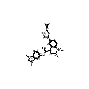 CC(=O)N1c2ccc(C3CNN(C4CC4)C3)cc2N(C(=O)Oc2ccc3c(c2)NCN3C)C[C@@H]1C